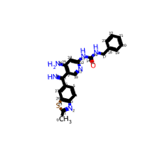 Cc1nc2ccc(C(=N)c3cnc(NC(=O)NCc4ccccc4)cc3N)cc2s1